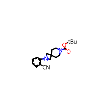 CC(C)(C)OC(=O)N1CCC2(CC1)CN(c1ccccc1C#N)C2